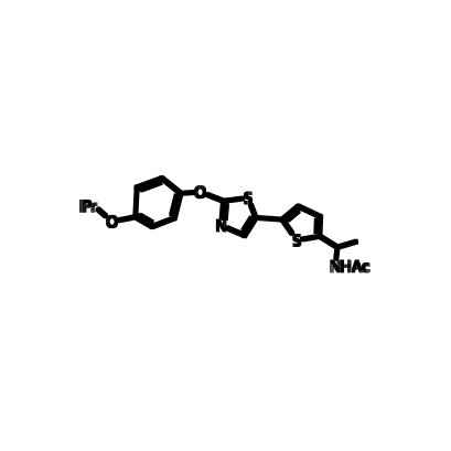 CC(=O)NC(C)c1ccc(-c2cnc(Oc3ccc(OC(C)C)cc3)s2)s1